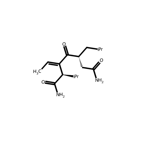 C/C=C(/C(=O)[C@@H](CC(N)=O)CC(C)C)[C@H](C(N)=O)C(C)C